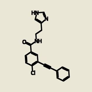 O=C(NCCc1c[nH]cn1)c1ccc(Cl)c(C#Cc2ccccc2)c1